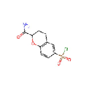 NC(=O)C1CCc2cc(S(=O)(=O)Cl)ccc2O1